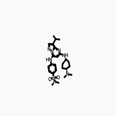 CC(C)c1cnn2c(Nc3ccc(S(=O)(=O)N(C)C)cc3)cc(N[C@H]3CC[C@H](N(C)C)CC3)nc12